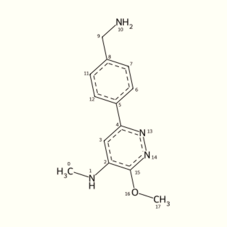 CNc1cc(-c2ccc(CN)cc2)nnc1OC